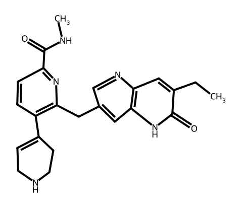 CCc1cc2ncc(Cc3nc(C(=O)NC)ccc3C3=CCNCC3)cc2[nH]c1=O